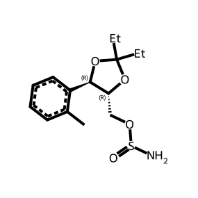 CCC1(CC)O[C@H](c2ccccc2C)[C@@H](COS(N)=O)O1